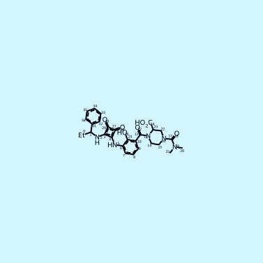 CCC(Nc1c(Nc2cccc(C(=O)N3CCN(C(=O)N(C)C)CC3C(=O)O)c2O)c(=O)c1=O)c1ccccc1